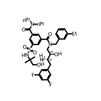 CCCN(CCC)C(=O)c1cc(C(=O)N(Cc2cccc(CC)c2)C[C@@H](O)[C@@H](N)Cc2cc(F)cc(F)c2)cc(S(=O)(=O)NC(C)(C)CO)c1